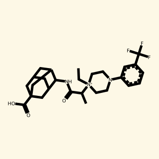 CC[N+]1(C(C)C(=O)NC2C3CC4CC2CC(C(=O)O)(C4)C3)CCN(c2cccc(C(F)(F)F)c2)CC1